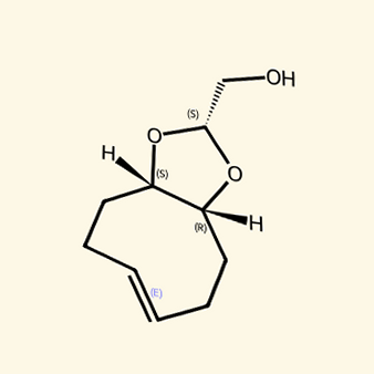 OC[C@H]1O[C@H]2CC/C=C/CC[C@H]2O1